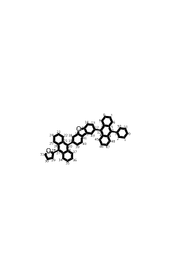 c1ccc(-c2c3ccccc3c(-c3ccc4oc5cc(-c6c7ccccc7c(-c7ccco7)c7ccccc67)ccc5c4c3)c3ccccc23)cc1